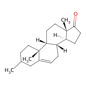 CC1CC[C@@]2(C)C(=CC[C@@H]3[C@H]2CC[C@]2(C)C(=O)CC[C@@H]32)C1